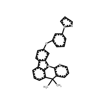 CC1(C)c2cccnc2-n2c3cc(Oc4cccc(-n5cccn5)c4)ccc3c3cccc1c32